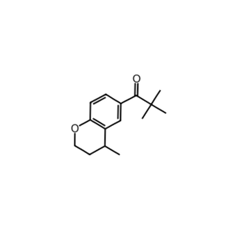 CC1CCOc2ccc(C(=O)C(C)(C)C)cc21